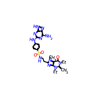 C=C1N(CC)C(=O)c2c(nc(CCNS(=O)(=O)c3ccc(Nc4nc(N)c5nc[nH]c5n4)cc3)n2C)N1CC